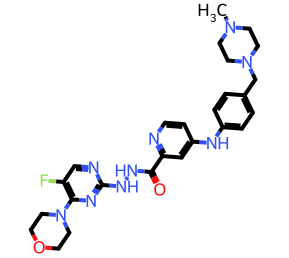 CN1CCN(Cc2ccc(Nc3ccnc(C(=O)NNc4ncc(F)c(N5CCOCC5)n4)c3)cc2)CC1